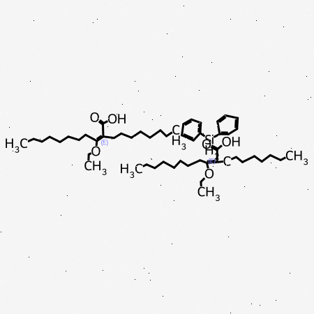 CCCCCCCC/C(OCC)=C(/CCCCCCCC)C(=O)O.CCCCCCCC/C(OCC)=C(/CCCCCCCC)C(=O)O.c1ccc([SiH2]c2ccccc2)cc1